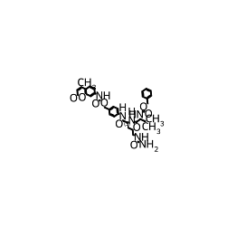 Cc1cc(=O)oc2cc(NC(=O)OCc3ccc(NC(=O)[C@H](CCCNC(N)=O)NC(=O)C(NC(=O)OCc4ccccc4)C(C)C)cc3)ccc12